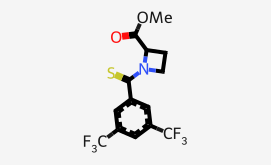 COC(=O)C1CCN1C(=S)c1cc(C(F)(F)F)cc(C(F)(F)F)c1